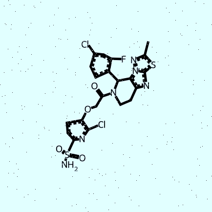 Cc1nn2c3c(nc2s1)CCN(C(=O)COc1ccc(S(N)(=O)=O)nc1Cl)C3c1ccc(Cl)cc1F